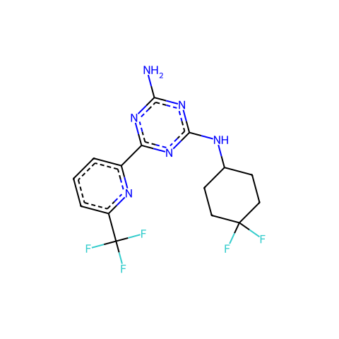 Nc1nc(NC2CCC(F)(F)CC2)nc(-c2cccc(C(F)(F)F)n2)n1